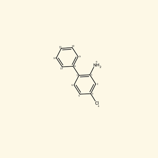 Nc1cc(Cl)ccc1-c1cc[c]cc1